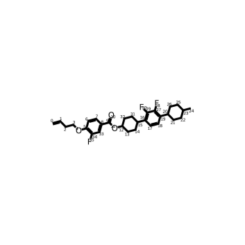 C=CCCOc1ccc(C(=O)OC2CCC(c3ccc(C4CCC(C)CC4)c(F)c3F)CC2)cc1F